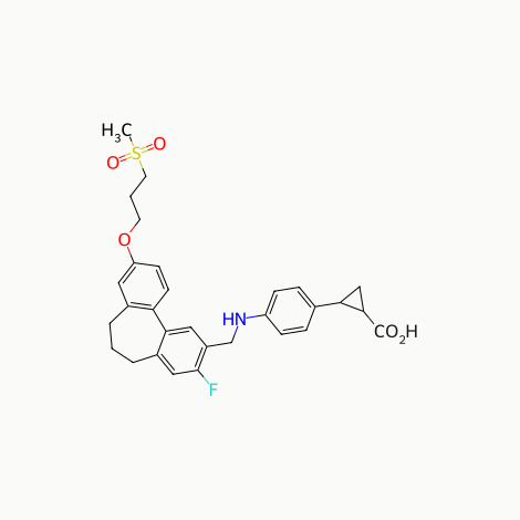 CS(=O)(=O)CCCOc1ccc2c(c1)CCCc1cc(F)c(CNc3ccc(C4CC4C(=O)O)cc3)cc1-2